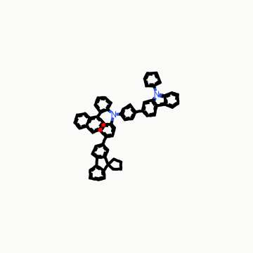 c1ccc(-n2c3ccccc3c3ccc(-c4ccc(N(c5ccc(-c6ccc7c(c6)C6(CCCC6)c6ccccc6-7)cc5)c5ccccc5-c5cccc6ccccc56)cc4)cc32)cc1